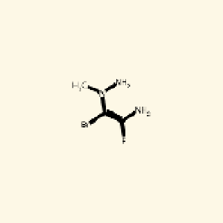 CN(N)/C(Br)=C(\N)F